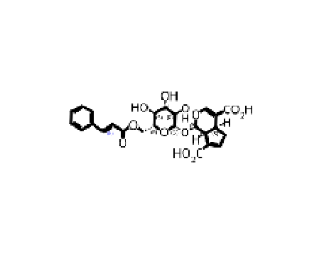 O=C(/C=C/c1ccccc1)OC[C@H]1O[C@@H](O[C@@H]2OC=C(C(=O)O)[C@H]3CC=C(C(=O)O)[C@@H]23)[C@H](O)[C@@H](O)[C@@H]1O